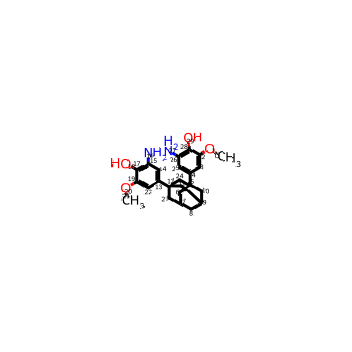 COc1cc(C23CC4CC(C2)CC(c2cc(N)c(O)c(OC)c2)(C4)C3)cc(N)c1O